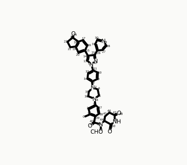 Cc1cc(N2CCN(c3ccc(-n4cc(-c5ccc6c(c5)CCC6=O)c(-c5ccncc5)n4)cc3)CC2)ccc1C(=O)N(C=O)C1CCC(=O)NC1=O